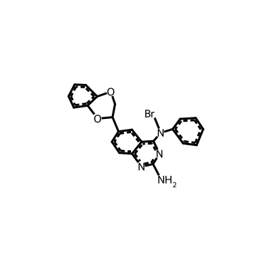 Nc1nc(N(Br)c2ccccc2)c2cc(C3COc4ccccc4O3)ccc2n1